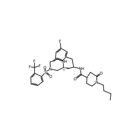 CCCCN1CCC(C(=O)NC(Cc2cc(F)cc(F)c2)C[C@H]2CN(S(=O)(=O)c3ccccc3C(F)(F)F)CCN2)CC1=O